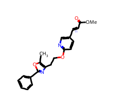 COC(=O)/C=C/c1ccc(OCCc2nc(-c3ccccc3)oc2C)nc1